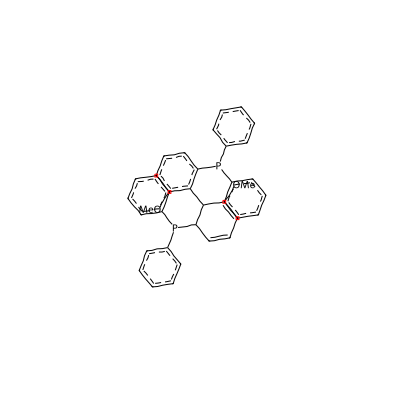 COC1=CC=CC(P(c2ccccc2)c2ccccc2)C1c1c(OC)cccc1P(c1ccccc1)c1ccccc1